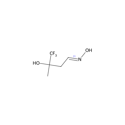 CC(O)(C/C=N/O)C(F)(F)F